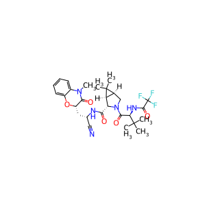 CN1C(=O)[C@H](C[C@@H](C#N)NC(=O)[C@@H]2[C@@H]3[C@H](CN2C(=O)[C@@H](NC(=O)C(F)(F)F)C(C)(C)C)C3(C)C)Oc2ccccc21